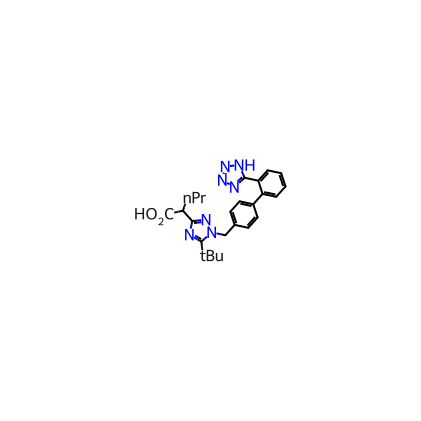 CCCC(C(=O)O)c1nc(C(C)(C)C)n(Cc2ccc(-c3ccccc3-c3nnn[nH]3)cc2)n1